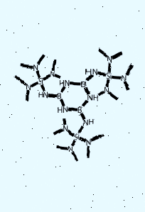 CN(C)[Si](NB1NB(N[Si](N(C)C)(N(C)C)N(C)C)NB(N[Si](N(C)C)(N(C)C)N(C)C)N1)(N(C)C)N(C)C